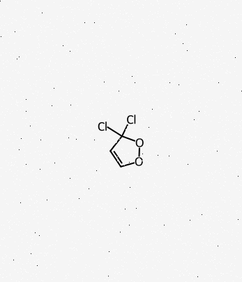 ClC1(Cl)C=COO1